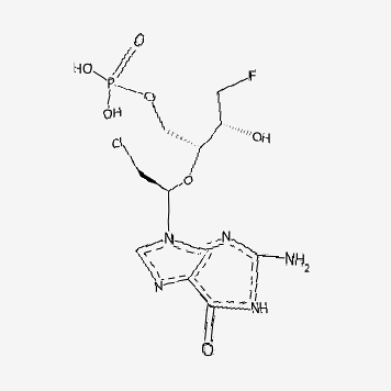 Nc1nc2c(ncn2[C@@H](CCl)O[C@H](COP(=O)(O)O)[C@@H](O)CF)c(=O)[nH]1